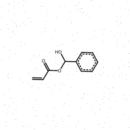 C=CC(=O)OC(O)c1ccccc1